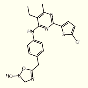 CCc1c(C)nc(-c2ccc(Cl)s2)nc1Nc1ccc(CC2=NCB(O)O2)cc1